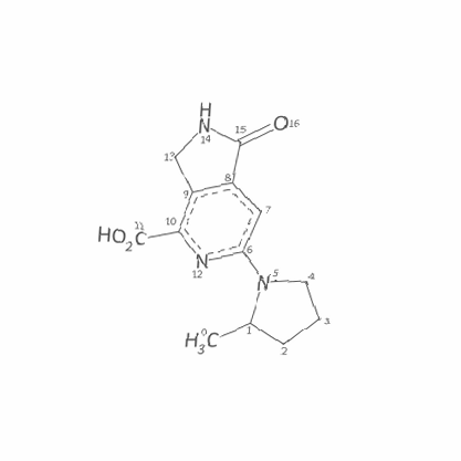 CC1CCCN1c1cc2c(c(C(=O)O)n1)CNC2=O